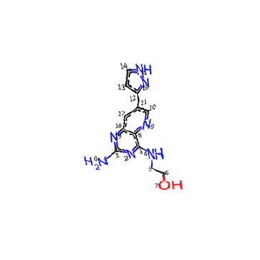 Nc1nc(NCCO)c2ncc(-c3cc[nH]n3)cc2n1